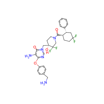 NCc1ccc(Oc2ncn(C[C@@]3(O)CCN(C(=O)[C@@H]4CCC(F)(F)C[C@H]4c4ccccc4)CC3(F)F)c(=O)c2N)cc1